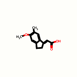 COc1cc2c(cc1C)/C(=C/C(=O)O)CC2